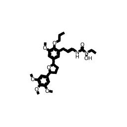 CCCOc1c(CC=CNC(=O)N(O)CC)cc(C2CCC(c3cc(OC)c(OC)c(OC)c3)O2)cc1OC